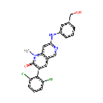 Cn1c(=O)c(-c2c(Cl)cccc2Cl)cc2cnc(Nc3cccc(CO)c3)cc21